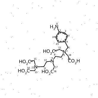 Nc1ccc(C[N+](CCN(CCN(CC(=O)O)CC(=O)O)CC(=O)O)(CC(=O)O)CC(=O)O)cc1